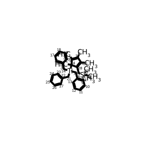 CC1=C(C)[C](C)([Ti]([CH2]c2ccccc2)([CH2]c2ccccc2)[CH2]c2ccccc2)C(C[Si](C)(C)C)=C1C